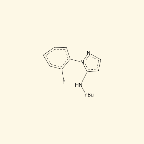 CCCCNc1ccnn1-c1ccccc1F